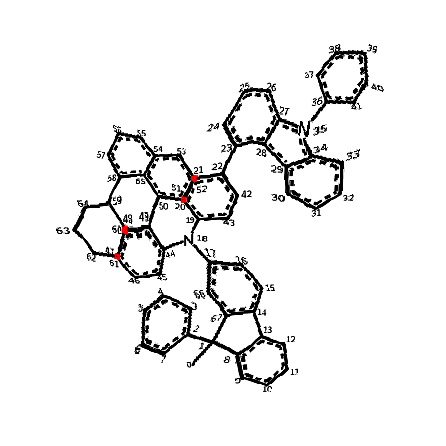 CC1(c2ccccc2)c2ccccc2-c2ccc(N(c3ccc(-c4cccc5c4c4ccccc4n5-c4ccccc4)cc3)c3ccccc3-c3cccc4cccc(C5CCCCC5)c34)cc21